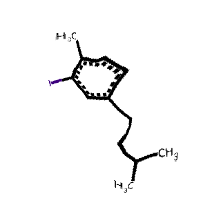 Cc1ccc(CCC(C)C)cc1I